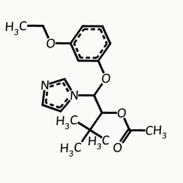 CCOc1cccc(OC(C(OC(C)=O)C(C)(C)C)n2ccnc2)c1